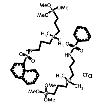 CO[Si](CCC[N+](C)(C)CCCNS(=O)(=O)c1cccc2ccccc12)(OC)OC.CO[Si](CCC[N+](C)(C)CCCNS(=O)(=O)c1ccccc1)(OC)OC.[Cl-].[Cl-]